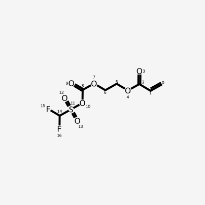 C=CC(=O)OCCOC(=O)OS(=O)(=O)C(F)F